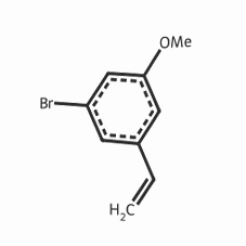 C=Cc1cc(Br)cc(OC)c1